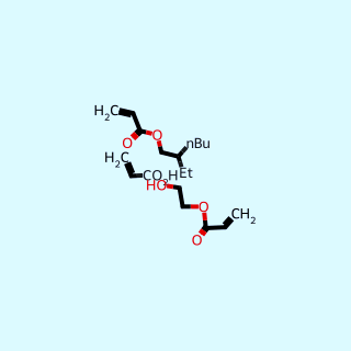 C=CC(=O)O.C=CC(=O)OCC(CC)CCCC.C=CC(=O)OCCO